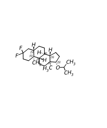 CC(C)O[C@H]1CC[C@H]2[C@@H]3CC[C@H]4CC(F)(F)CC[C@]4(C)[C@H]3CC[C@]12C